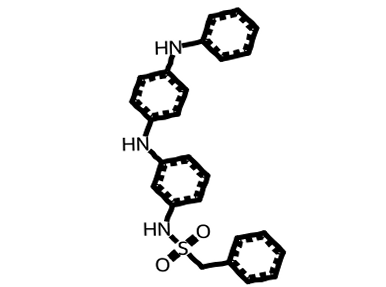 O=S(=O)(Cc1ccccc1)Nc1cccc(Nc2ccc(Nc3ccccc3)cc2)c1